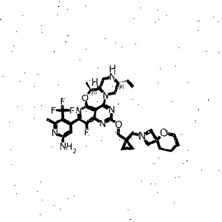 CC[C@@H]1CN2c3nc(OCC4(CN5CC6(CCCCO6)C5)CC4)nc4c(F)c(-c5cc(N)nc(C)c5C(F)(F)F)nc(c34)O[C@@H](C)[C@@H]2CN1